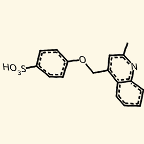 Cc1cc(COc2ccc(S(=O)(=O)O)cc2)c2ccccc2n1